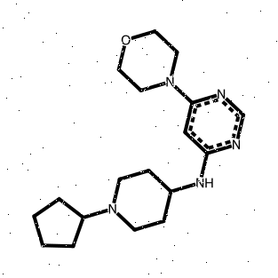 c1nc(NC2CCN(C3CCCC3)CC2)cc(N2CCOCC2)n1